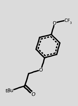 CC(C)(C)C(=O)COc1ccc(OC(F)(F)F)cc1